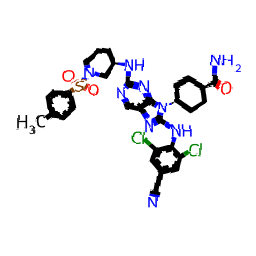 Cc1ccc(S(=O)(=O)N2CCC[C@@H](Nc3ncc4nc(Nc5c(Cl)cc(C#N)cc5Cl)n([C@H]5CC[C@H](C(N)=O)CC5)c4n3)C2)cc1